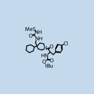 CSNC(=O)NCC1(C2CCCCC2)CCN(C(=O)C(Cc2ccc(Cl)cc2)NC(=O)OC(C)(C)C)CC1